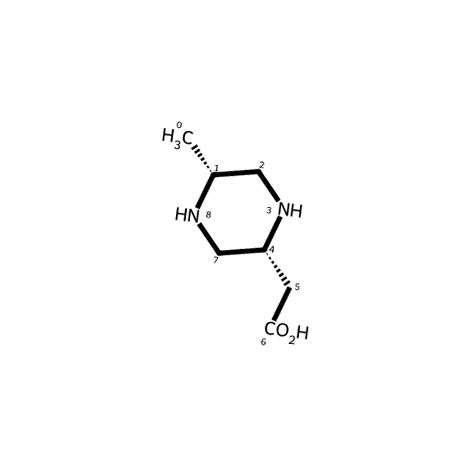 C[C@@H]1CN[C@H](CC(=O)O)CN1